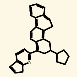 [C]1=CCc2nc(C3=c4ccc5c(c4CC(C4CCCC4)C3)CC=c3ccccc3=5)ccc21